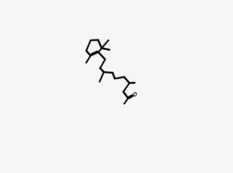 CC(=O)CC(C)CCCC(C)CCC1=C(C)CCCC1(C)C